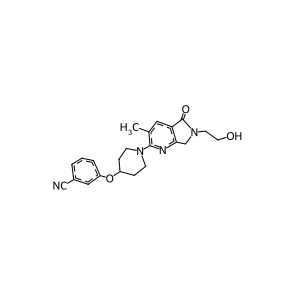 Cc1cc2c(nc1N1CCC(Oc3cccc(C#N)c3)CC1)CN(CCO)C2=O